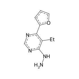 CCc1c(NN)ncnc1-c1ccco1